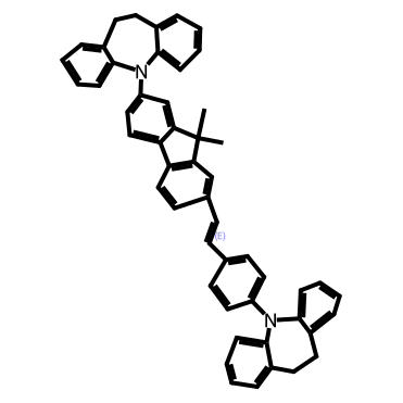 CC1(C)c2cc(/C=C/c3ccc(N4c5ccccc5CCc5ccccc54)cc3)ccc2-c2ccc(N3c4ccccc4CCc4ccccc43)cc21